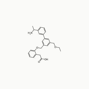 CCOCc1cc(COc2ccccc2CC(=O)O)cc(-c2cccc(C(C)N)c2)c1